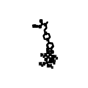 BC(B)(B)OC(B)(B)C(B)(B)Oc1ccc(N2CCN(CCN(C)C(=O)OC(C)(C)C)CC2)cc1